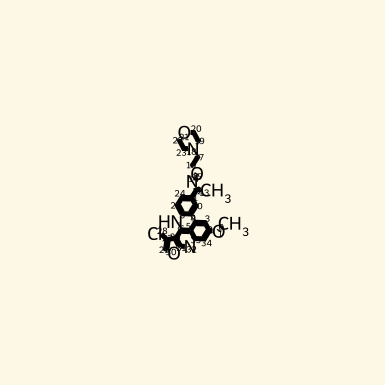 COc1ccc2c(Nc3ccc(C(C)=NOCCN4CCOCC4)cc3)c3c(Cl)coc3nc2c1